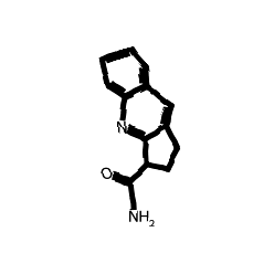 NC(=O)C1CCc2cc3ccccc3nc21